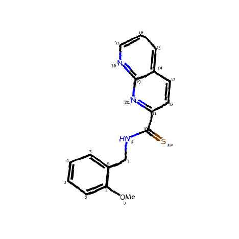 COc1ccccc1CNC(=S)c1ccc2cccnc2n1